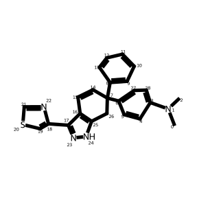 CN(C)c1ccc(C2(c3ccccc3)C=Cc3c(-c4cscn4)n[nH]c3C2)cc1